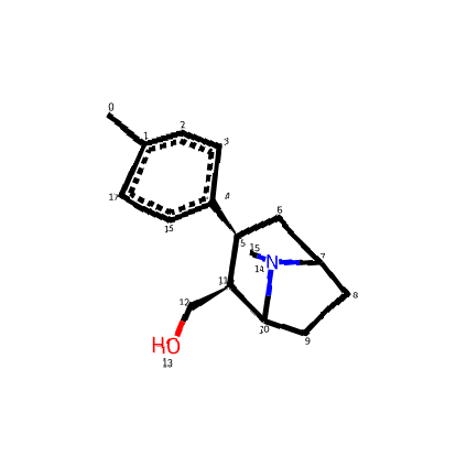 Cc1ccc([C@H]2CC3CCC([C@H]2CO)N3C)cc1